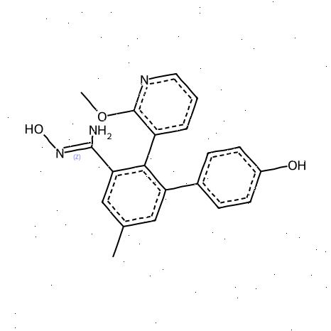 COc1ncccc1-c1c(/C(N)=N/O)cc(C)cc1-c1ccc(O)cc1